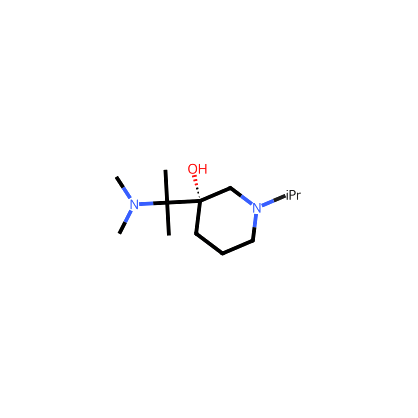 CC(C)N1CCC[C@@](O)(C(C)(C)N(C)C)C1